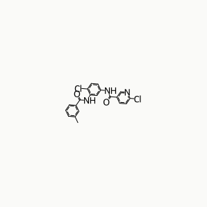 Cc1cccc(C(=O)Nc2cc(NC(=O)c3ccc(Cl)nc3)ccc2Cl)c1